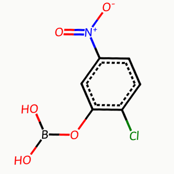 O=[N+]([O-])c1ccc(Cl)c(OB(O)O)c1